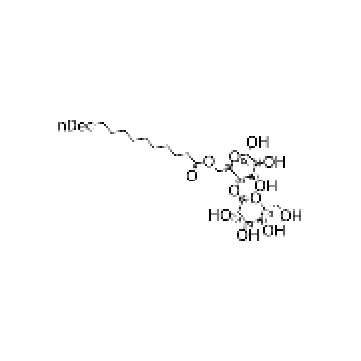 CCCCCCCCCCCCCCCCCCCC(=O)OC[C@H]1O[C@H](O)[C@@H](O)[C@@H](O)[C@@H]1O[C@@H]1O[C@H](CO)[C@@H](O)[C@H](O)[C@@H]1O